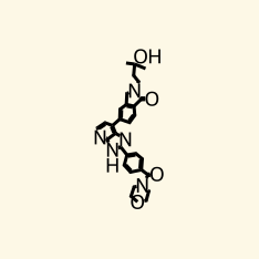 CC(C)(O)CCN1Cc2cc(-c3ccnc4[nH]c(-c5ccc(C(=O)N6CCOCC6)cc5)nc34)ccc2C1=O